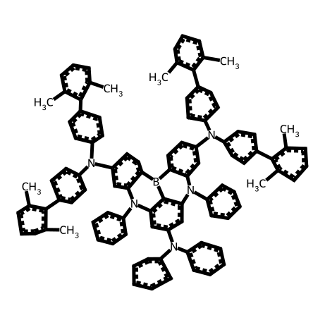 Cc1cccc(C)c1-c1ccc(N(c2ccc(-c3c(C)cccc3C)cc2)c2ccc3c(c2)N(c2ccccc2)c2cc(N(c4ccccc4)c4ccccc4)cc4c2B3c2ccc(N(c3ccc(-c5c(C)cccc5C)cc3)c3ccc(-c5c(C)cccc5C)cc3)cc2N4c2ccccc2)cc1